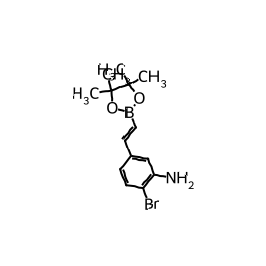 CC1(C)OB(/C=C/c2ccc(Br)c(N)c2)OC1(C)C